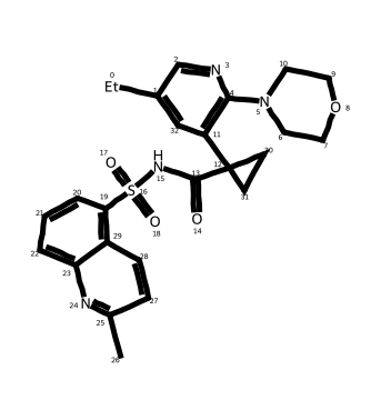 CCc1cnc(N2CCOCC2)c(C2(C(=O)NS(=O)(=O)c3cccc4nc(C)ccc34)CC2)c1